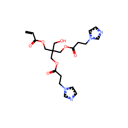 C=CC(=O)OCC(CO)(COC(=O)CCn1ccnc1)COC(=O)CCn1ccnc1